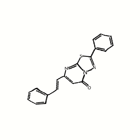 O=c1cc(/C=C/c2ccccc2)nc2sc(-c3ccccc3)nn12